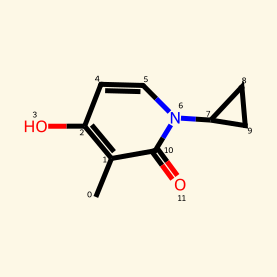 Cc1c(O)ccn(C2CC2)c1=O